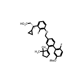 COc1ccc(F)c(-c2ccc(COc3cccc([C@@H](CC(=O)O)C4CC4)c3F)cc2C2=CCCC2(C)C)c1